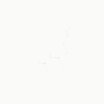 C=CCCC(CO)NC(=O)O